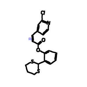 O=C(/C=C\c1ccnc(Cl)c1)Oc1ccccc1C1SCCCS1